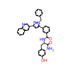 NC(=O)C(Cc1ccc(O)cc1)NC(=O)c1cccc(-c2cc(-c3cnc4ccccc4c3)nn2Cc2ccccc2)c1